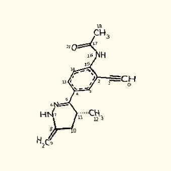 C#Cc1cc(C2=NNC(=C)C[C@H]2C)ccc1NC(C)=O